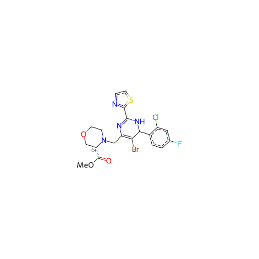 COC(=O)[C@@H]1COCCN1CC1=C(Br)C(c2ccc(F)cc2Cl)NC(c2nccs2)=N1